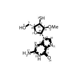 CO[C@@H]1[C@H](S)[C@@H](CO)O[C@H]1n1cnc2c(=O)[nH]c(N)nc21